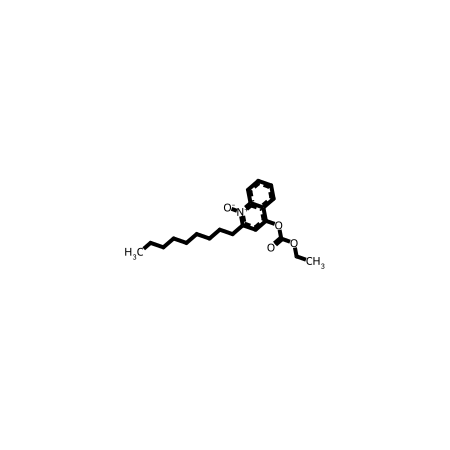 CCCCCCCCCc1cc(OC(=O)OCC)c2ccccc2[n+]1[O-]